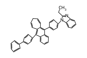 CCc1nc2ccccc2n1-c1ccc(-c2c3c(c(-c4ccc(-c5ccccc5)cc4)c4ccccc24)C=CCC=C3)cc1